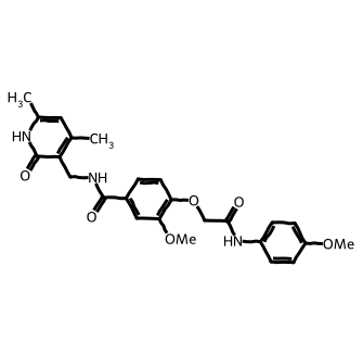 COc1ccc(NC(=O)COc2ccc(C(=O)NCc3c(C)cc(C)[nH]c3=O)cc2OC)cc1